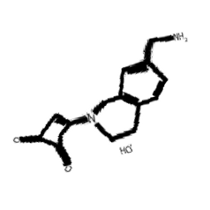 Cl.NCc1ccc2c(c1)CN(c1cc(=O)c1=O)CC2